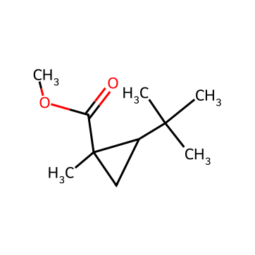 COC(=O)C1(C)CC1C(C)(C)C